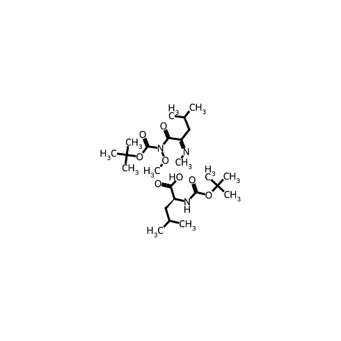 CC(C)C[C@H](NC(=O)OC(C)(C)C)C(=O)O.CN=C(CC(C)C)C(=O)N(OC)C(=O)OC(C)(C)C